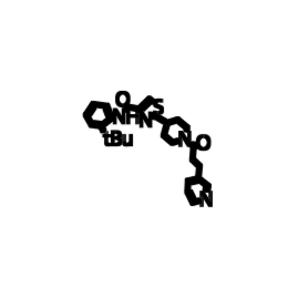 CC(C)(C)c1ccccc1NC(=O)c1csc(C2CCN(C(=O)CCc3cccnc3)CC2)n1